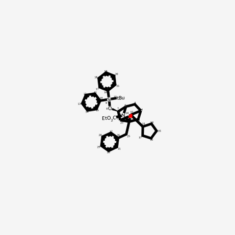 CCOC(=O)N1C2CC3CC1[C@H](O[Si](c1ccccc1)(c1ccccc1)C(C)(C)C)C2N(Cc1ccccc1)C3C1CCCC1